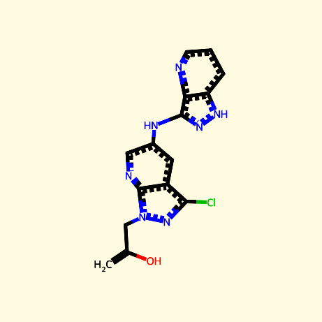 C=C(O)Cn1nc(Cl)c2cc(Nc3n[nH]c4cccnc34)cnc21